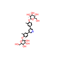 Cc1cc(-c2cncc(-c3ccc(O[C@H]4OC(CO)[C@@H](O)C(O)[C@]4(C)O)c(C)c3)c2)ccc1O[C@H]1OC(CO)[C@@H](O)C(O)[C@]1(C)O